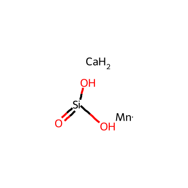 O=[Si](O)O.[CaH2].[Mn]